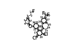 FCCCN1CC[C@H](Oc2ccc(C3=C(c4ccc(Cl)cc4Cl)CCCc4cc(C(F)F)ccc43)cc2)C1